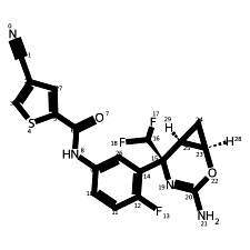 N#Cc1csc(C(=O)Nc2ccc(F)c([C@@]3(C(F)F)N=C(N)O[C@@H]4C[C@@H]43)c2)c1